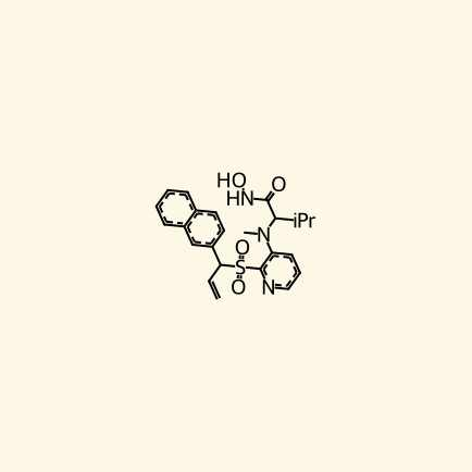 C=CC(c1ccc2ccccc2c1)S(=O)(=O)c1ncccc1N(C)C(C(=O)NO)C(C)C